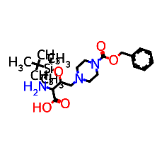 CC(C)(C)[Si](C)(C)OC(CN1CCN(C(=O)OCc2ccccc2)CC1)C(N)C(=O)O